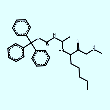 CCCCCC(NC(C)NC(=O)SC(c1ccccc1)(c1ccccc1)c1ccccc1)C(=O)CNC